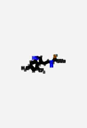 CSC(=S)NCCc1c[nH]c2cc(C)cc(C(F)(F)F)c12